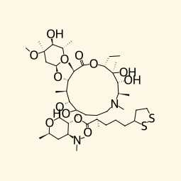 CC[C@H]1OC(=O)[C@H](C)[C@@H](O[C@H]2C[C@@](C)(OC)[C@@H](O)[C@H](C)O2)[C@H](C)[C@@H](O[C@@H]2O[C@H](C)C[C@H](N(C)C)[C@H]2OC(=O)CCCCC2CCSS2)[C@](C)(O)C[C@@H](C)CN(C)[C@H](C)[C@@H](O)[C@]1(C)O